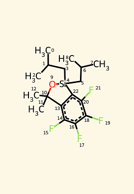 CC(C)C[Si]1(CC(C)C)OC(C)(C)c2c(F)c(F)c(F)c(F)c21